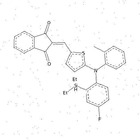 CC[SiH](CC)c1cc(F)ccc1N(c1ccc(C=C2C(=O)c3ccccc3C2=O)s1)c1ccccc1C